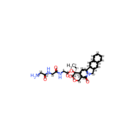 CC[C@@]1(OC(=O)CNC(=O)CNC(=O)CN)C(=O)OCc2c1cc1n(c2=O)Cc2cc3ccccc3cc2-1